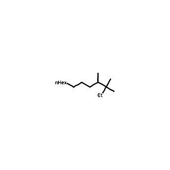 C[CH]C(C)(C)C(C)CCCCCCCCC